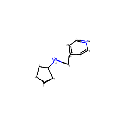 c1cc(CNC2CCCC2)ccn1